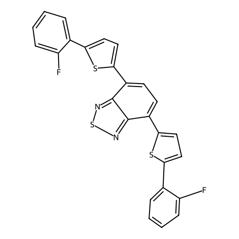 Fc1ccccc1-c1ccc(-c2ccc(-c3ccc(-c4ccccc4F)s3)c3nsnc23)s1